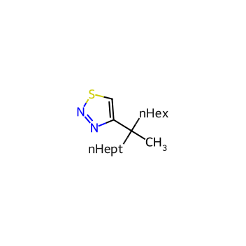 CCCCCCCC(C)(CCCCCC)c1csnn1